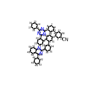 N#Cc1ccc(-c2cccc(-c3nc(-c4ccccc4)nc(-c4ccccc4-c4ccccc4-c4cccc(-c5nc(-c6ccccc6)c6ccccc6n5)c4)n3)c2)cc1